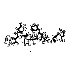 CC[C@H](C)[C@@H]([C@@H](CC(=O)N1CCC[C@H]1[C@H](OC)[C@@H](C)C(=O)N[C@@H](Cc1ccccc1)C(=O)NS(=O)(=O)CCCn1cc(CN2C(=O)C=CC2O)nn1)OC)N(C)C(=O)[C@@H](N=C(N(C)C)N(C)C)C(C)C